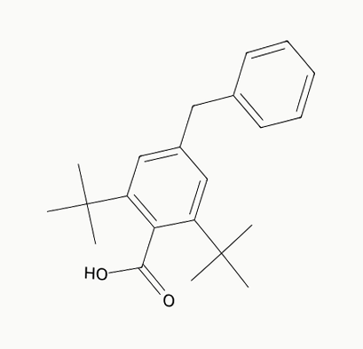 CC(C)(C)c1cc(Cc2ccccc2)cc(C(C)(C)C)c1C(=O)O